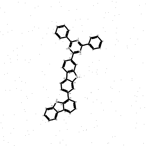 c1ccc(-c2nc(-c3ccccc3)nc(-c3ccc4c(c3)sc3cc(-c5cccc6c5sc5ccccc56)ccc34)n2)cc1